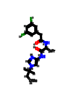 CCCC(NC(=O)Cc1cc(F)cc(F)c1)C(=O)Nc1cn(C(C)(C)COC)cn1